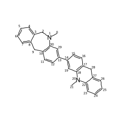 CN1Cc2ccccc2Cc2ccc(-c3ccc4c(c3)N(C)c3ccccc3C4)cc21